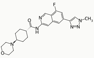 Cn1cc(-c2cc(F)c3cnc(NC(=O)[C@H]4CC[C@H](N5CCOCC5)CC4)cc3c2)nn1